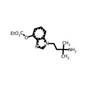 CCOC(=O)Oc1cccc2c1ncn2CCC(C)(C)N